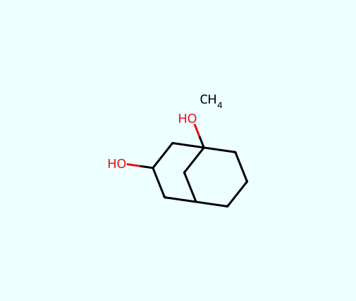 C.OC1CC2CCCC(O)(C1)C2